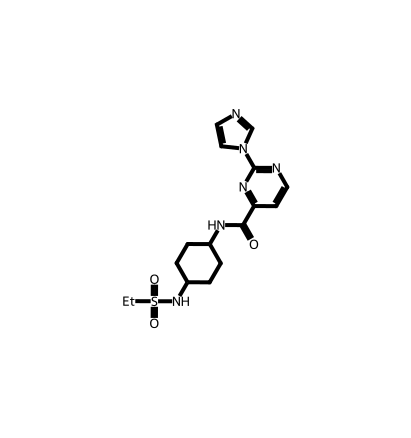 CCS(=O)(=O)NC1CCC(NC(=O)c2ccnc(-n3ccnc3)n2)CC1